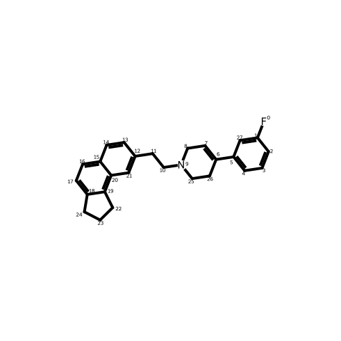 Fc1cccc(C2=CCN(CCc3ccc4ccc5c(c4c3)CCC5)CC2)c1